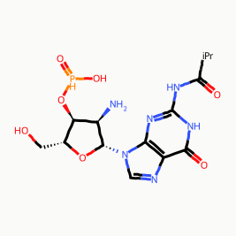 CC(C)C(=O)Nc1nc2c(ncn2[C@@H]2O[C@H](CO)[C@@H](O[PH](=O)O)[C@H]2N)c(=O)[nH]1